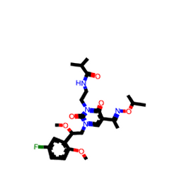 COc1ccc(F)cc1C(Cn1cc(/C(C)=N/OC(C)C)c(=O)n(CCNC(=O)C(C)C)c1=O)OC